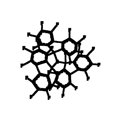 Fc1c(F)c(F)c2c(c1F)-c1c(F)c(F)c(F)c(F)c1C2(F)B(C1(F)c2c(F)c(F)c(F)c(F)c2-c2c(F)c(F)c(F)c(F)c21)C1(F)c2c(F)c(F)c(F)c(F)c2-c2c(F)c(F)c(F)c(F)c21